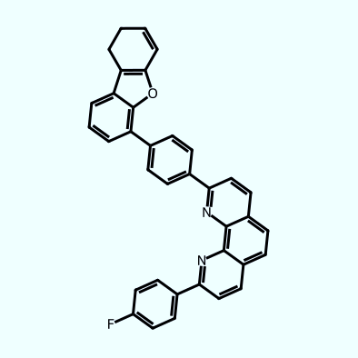 Fc1ccc(-c2ccc3ccc4ccc(-c5ccc(-c6cccc7c8c(oc67)C=CCC8)cc5)nc4c3n2)cc1